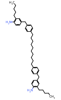 CCCCCc1cc(Cc2ccc(CCCCCCCCCCc3ccc(Cc4ccc(N)c(CCCCC)c4)cc3)cc2)ccc1N